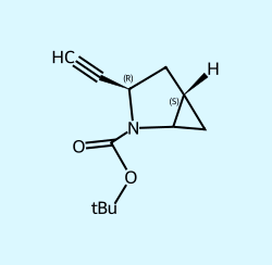 C#C[C@H]1C[C@@H]2CC2N1C(=O)OC(C)(C)C